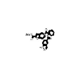 CNC(=O)c1cc2c(s1)CCN(C(=O)C1(NC(=O)c3ccc4[nH]ncc4c3)CCCCC1)C2